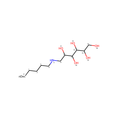 CCCCCCCCCCCCCCNCC(O)C(O)C(O)C(O)CO